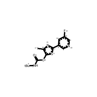 CC(C)(C)NC(=O)Oc1sc(-c2cncc(F)c2)nc1I